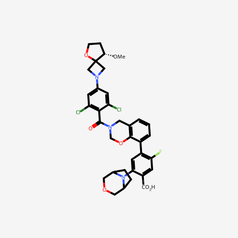 CO[C@H]1CCOC12CN(c1cc(Cl)c(C(=O)N3COc4c(cccc4-c4cc(N5C6CCC5COC6)c(C(=O)O)cc4F)C3)c(Cl)c1)C2